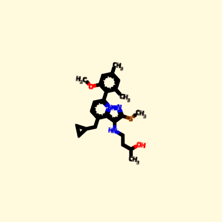 COc1cc(C)cc(C)c1-c1ccc(CC2CC2)c2c(NCCC(C)O)c(SC)nn12